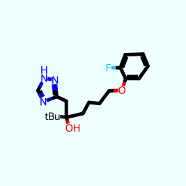 CC(C)(C)C(O)(CCCCOc1ccccc1F)Cc1nc[nH]n1